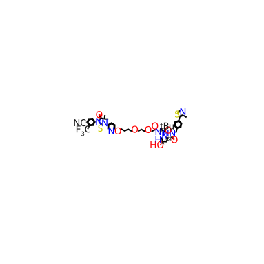 Cc1ncsc1-c1ccc(CNC(=O)[C@@H]2C[C@@H](O)CN2C(=O)[C@@H](NC(=O)COCCCOCCCCOc2ccc(N3C(=S)N(c4ccc(C#N)c(C(F)(F)F)c4)C(=O)C3(C)C)cn2)C(C)(C)C)cc1